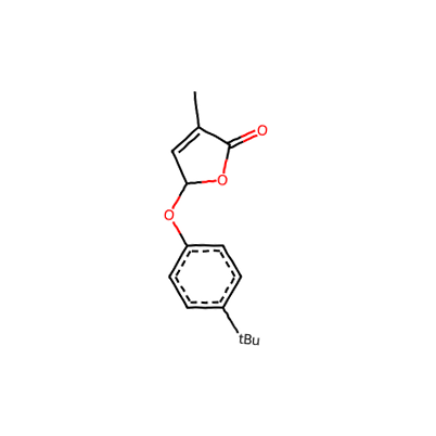 CC1=CC(Oc2ccc(C(C)(C)C)cc2)OC1=O